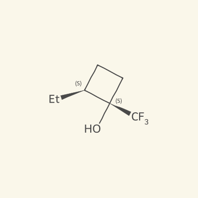 CC[C@H]1CC[C@@]1(O)C(F)(F)F